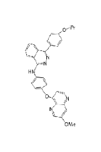 COc1cnc2c(Oc3ccc(Nc4nnc(-c5ccc(OC(C)C)cc5)c5ccccc45)cc3)ccnc2c1